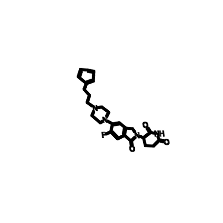 O=C1CCC(N2Cc3cc(N4CCN(CCCc5ccccc5)CC4)c(F)cc3C2=O)C(=O)N1